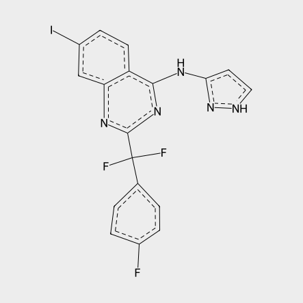 Fc1ccc(C(F)(F)c2nc(Nc3cc[nH]n3)c3ccc(I)cc3n2)cc1